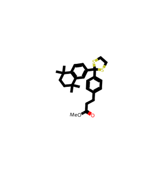 COC(=O)CCc1ccc(C2(c3ccc4c(c3)C(C)(C)CCC4(C)C)SCCS2)cc1